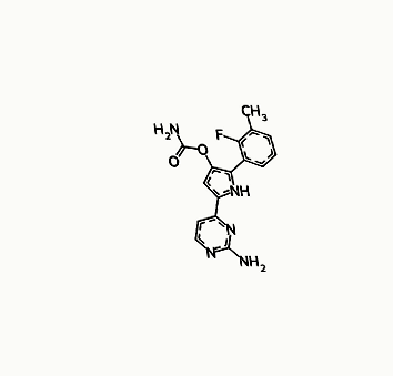 Cc1cccc(-c2[nH]c(-c3ccnc(N)n3)cc2OC(N)=O)c1F